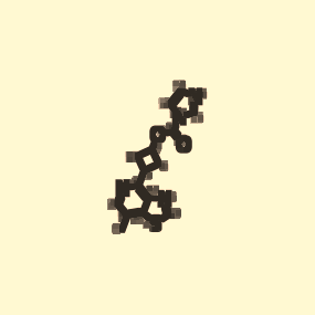 Cc1cnc(C2CC(OC(=O)n3ccnc3)C2)c2ncsc12